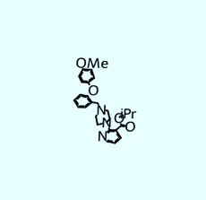 COc1ccc(Oc2ccccc2CN2CCN(c3ncccc3C(=O)OC(C)C)CC2)cc1